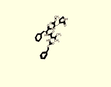 COC(=O)[C@H](C[C@@H]1CCNC1=O)NC(=O)[C@H](CC1CCCCC1)NC(=O)[C@@H](NC(=O)OCc1ccccc1)C(C)C